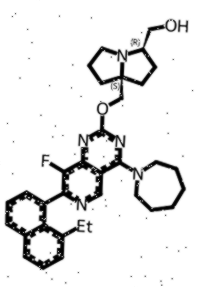 CCc1cccc2cccc(-c3ncc4c(N5CCCCCC5)nc(OC[C@@]56CCCN5[C@@H](CO)CC6)nc4c3F)c12